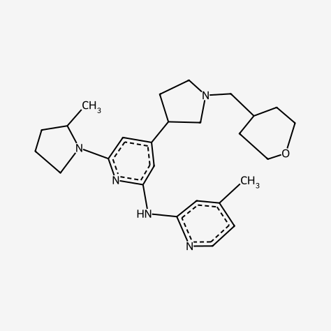 Cc1ccnc(Nc2cc(C3CCN(CC4CCOCC4)C3)cc(N3CCCC3C)n2)c1